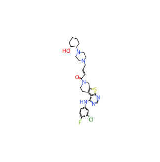 O=C(C=CCN1CCN([C@@H]2CCCC[C@H]2O)CC1)N1CCc2c(sc3ncnc(Nc4ccc(F)c(Cl)c4)c23)C1